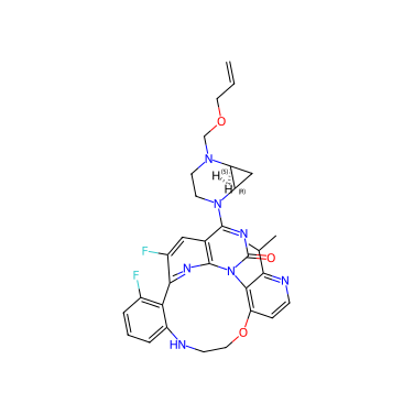 C=CCOCN1CCN(c2nc(=O)n3c4nc(c(F)cc24)-c2c(F)cccc2NCCOc2ccnc(C(C)C)c2-3)[C@@H]2C[C@@H]21